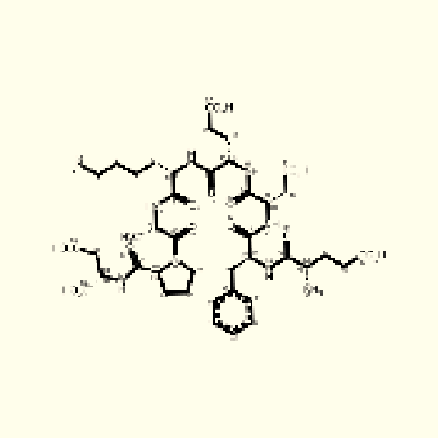 C[C@H](NC(=O)[C@H](CCCCN)NC(=O)[C@H](CCC(=O)O)NC(=O)[C@H](CC(=O)O)NC(=O)[C@H](Cc1ccccc1)NC(=O)[C@@H](N)CCC(=O)O)C(=O)N1CCC[C@H]1C(=O)N[C@@H](CC(=O)O)C(=O)O